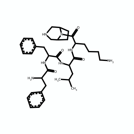 CC(C)CC(NC(=O)C(Cc1ccccc1)NC(=O)C(N)Cc1ccccc1)C(=O)NC(CCCCN)C(=O)N1C2CCC1CNC2